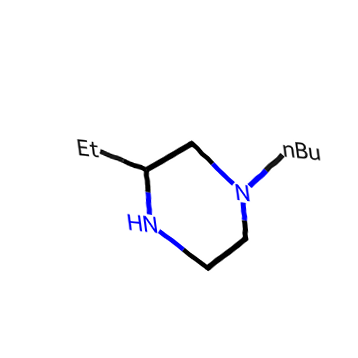 [CH2]CC1CN(CCCC)CCN1